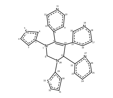 [CH]1N(c2ccsc2)C(c2ccncc2)=C(c2cccnc2)C(c2ccccn2)N1c1cccs1